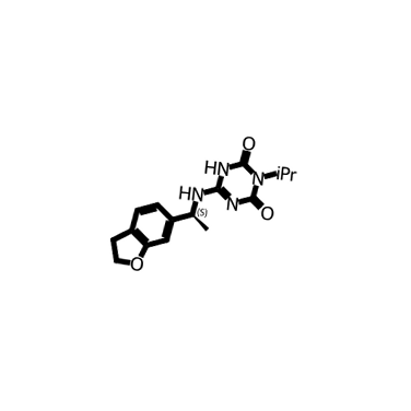 CC(C)n1c(=O)nc(N[C@@H](C)c2ccc3c(c2)OCC3)[nH]c1=O